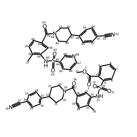 COC(=O)c1ccccc1S(=O)(=O)Nc1cc(C(=O)N2CCC(c3ccc(C#N)cc3)CC2)ccc1C.Cc1ccc(C(=O)N2CCC(c3ccc(C#N)cc3)CC2)cc1NS(=O)(=O)c1cccnc1